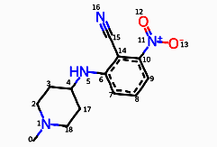 CN1CCC(Nc2cccc([N+](=O)[O-])c2C#N)CC1